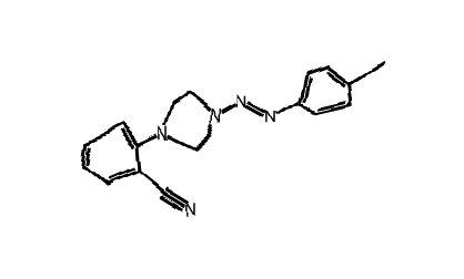 Cc1ccc(N=NN2CCN(c3ccccc3C#N)CC2)cc1